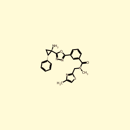 Cc1csc(CN(C)C(=O)c2cccc(-c3nnc([C@@]4(N)C[C@H]4c4ccccc4)o3)c2)n1